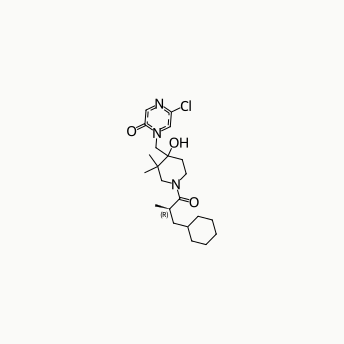 C[C@H](CC1CCCCC1)C(=O)N1CCC(O)(Cn2cc(Cl)ncc2=O)C(C)(C)C1